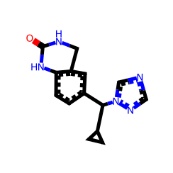 O=C1NCc2cc(C(C3CC3)n3cncn3)ccc2N1